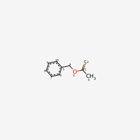 CC(=S)OCc1ccccc1